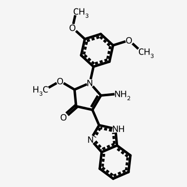 COc1cc(OC)cc(N2C(N)=C(c3nc4ccccc4[nH]3)C(=O)C2OC)c1